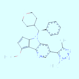 COC1=C2c3ncc(-c4c(C)nnn4C)cc3N([C@H](c3ccccc3)C3CCOCC3)C2C=C1